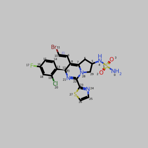 NS(=O)(=O)NC1CC2=C(/C=C/Br)[C@H](c3ccc(F)cc3Cl)N=C(c3nccs3)N2C1